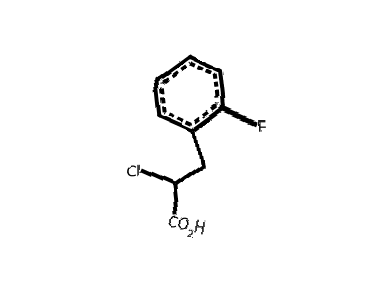 O=C(O)C(Cl)Cc1ccccc1F